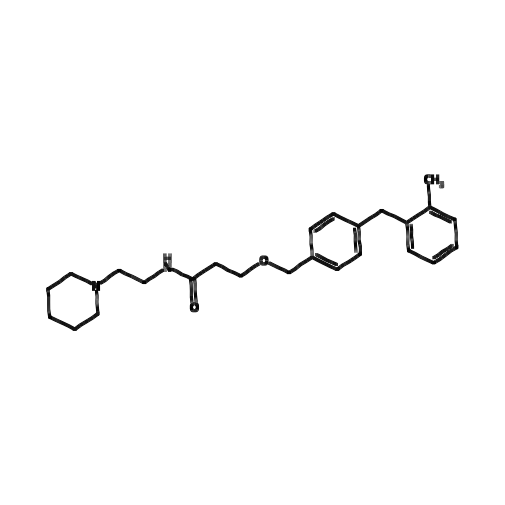 Cc1ccccc1Cc1ccc(COCCC(=O)NCCN2CCCCC2)cc1